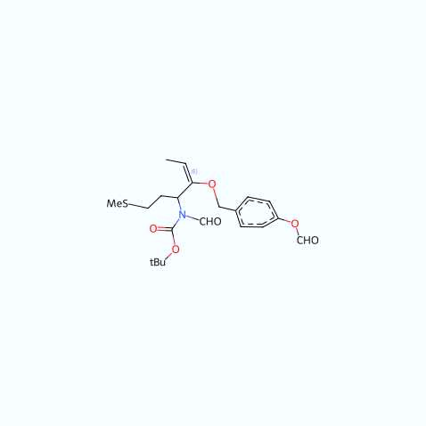 C/C=C(/OCc1ccc(OC=O)cc1)C(CCSC)N(C=O)C(=O)OC(C)(C)C